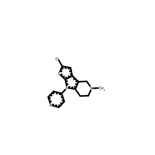 CN1CCc2c(c3cc(Cl)sc3n2-c2ccncc2)C1